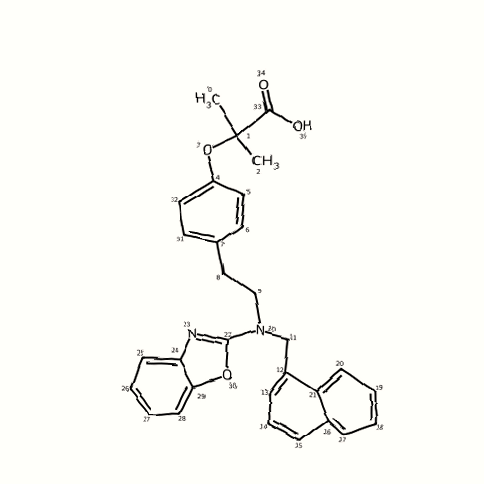 CC(C)(Oc1ccc(CCN(Cc2cccc3ccccc23)c2nc3ccccc3o2)cc1)C(=O)O